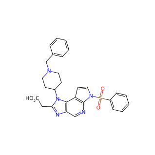 O=C(O)Cc1nc2cnc3c(ccn3S(=O)(=O)c3ccccc3)c2n1C1CCN(Cc2ccccc2)CC1